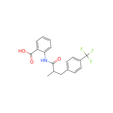 CC(Cc1ccc(C(F)(F)F)cc1)C(=O)Nc1ccccc1C(=O)O